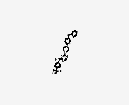 OC1(c2ccc(Nc3ncnc(N4CCN(c5ncc(Cc6ccccc6)cn5)CC4)n3)cc2)COC1